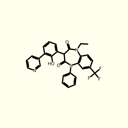 CCN1C(=O)C(c2cccc(-c3cccnc3)c2O)C(=O)N(c2ccccc2)c2cc(C(F)(F)F)ccc21